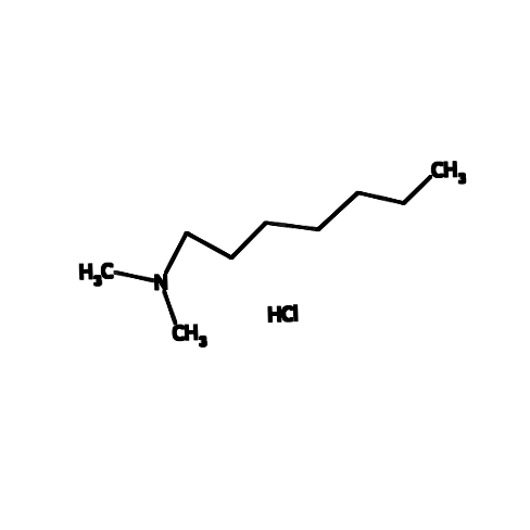 CCCCCCCN(C)C.Cl